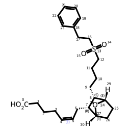 O=C(O)CCC/C=C\C[C@@H]1[C@H](CCCCS(=O)(=O)CCc2ccccc2)[C@@H]2CC[C@H]1O2